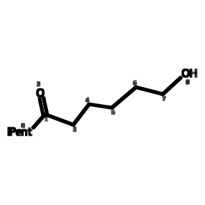 CCCC(C)C(=O)CCCCCO